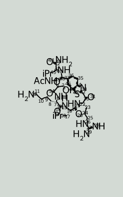 CC(=O)N[C@@H](CO)C(=O)N[C@@H](CCCCN)C(=O)N[C@@H](CC(C)C)C(=O)N[C@@H](CCCNC(=N)N)C(=O)c1nc2ccc(C(=O)NC(C(N)=O)C(C)C)cc2s1